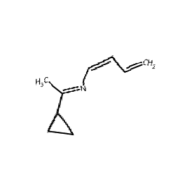 C=C/C=C\N=C(/C)C1CC1